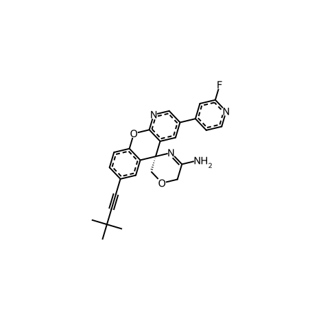 CC(C)(C)C#Cc1ccc2c(c1)[C@@]1(COCC(N)=N1)c1cc(-c3ccnc(F)c3)cnc1O2